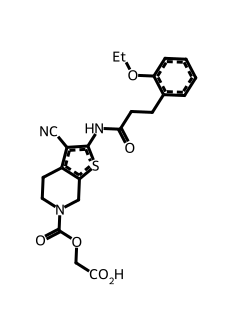 CCOc1ccccc1CCC(=O)Nc1sc2c(c1C#N)CCN(C(=O)OCC(=O)O)C2